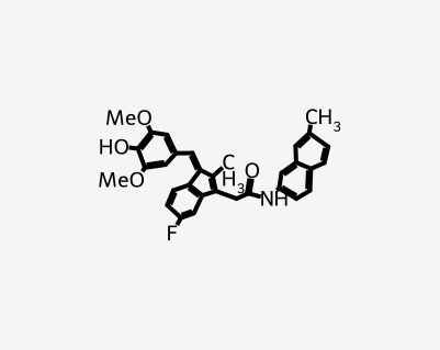 COc1cc(/C=C2/C(C)=C(CC(=O)Nc3ccc4ccc(C)cc4c3)c3cc(F)ccc32)cc(OC)c1O